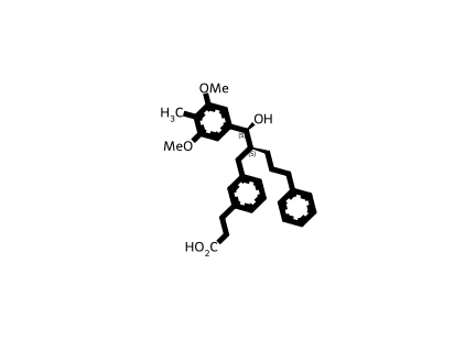 COc1cc([C@@H](O)[C@@H](CCCc2ccccc2)Cc2cccc(CCC(=O)O)c2)cc(OC)c1C